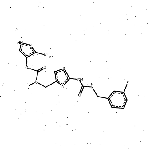 CN(Cc1csc(NC(=O)NCc2cccc(F)c2)n1)C(=O)Oc1c[nH]nc1N